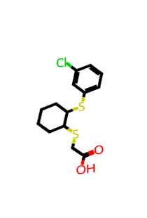 O=C(O)CSC1CCCCC1Sc1cccc(Cl)c1